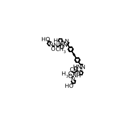 CC(NC(=O)N1CC[C@@H](O)C1)C(=O)N1CCC[C@H]1c1ncc(-c2ccc(C#Cc3ccc(-c4cnc([C@@H]5CCCN5C(=O)[C@@H](NC(=O)N5CC[C@@H](O)C5)C(C)C)[nH]4)cc3)cc2)[nH]1